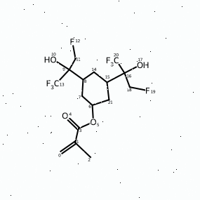 C=C(C)C(=O)OC1CC(C(O)(CF)C(F)(F)F)CC(C(O)(CF)C(F)(F)F)C1